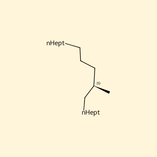 CCCCCCCCCC[C@@H](C)CCCCCCCC